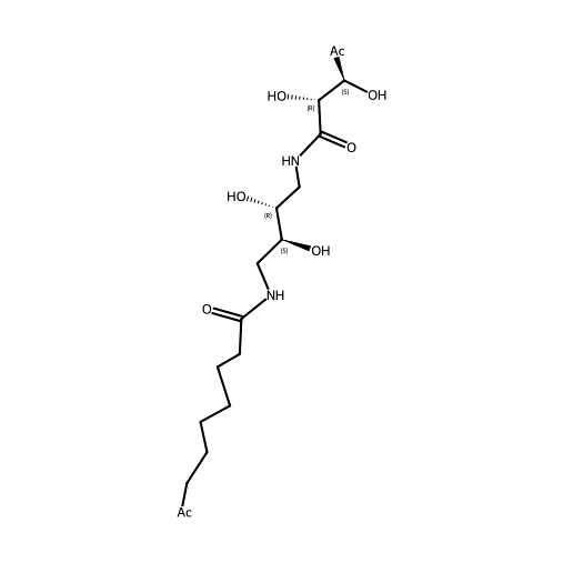 CC(=O)CCCCCCC(=O)NC[C@H](O)[C@H](O)CNC(=O)[C@H](O)[C@H](O)C(C)=O